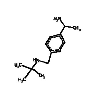 CC(N)c1ccc(CNC(C)(C)C)cc1